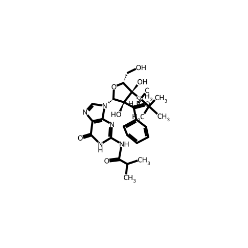 CC(C)C(=O)Nc1nc2c(ncn2[C@@H]2O[C@H](CO)[C@](O)([Si](C)(C)C(C)(C)C)[C@]2(O)C(=O)c2ccccc2)c(=O)[nH]1